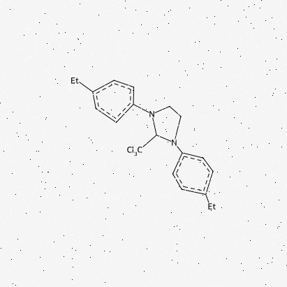 CCc1ccc(N2CCN(c3ccc(CC)cc3)C2C(Cl)(Cl)Cl)cc1